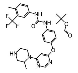 CC(C)(C)OC=O.Cc1ccc(NC(=O)Nc2ccc(Oc3cc(N4CCNCC4C)ncn3)cc2)cc1C(F)(F)F